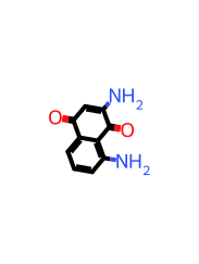 NC1=CC(=O)c2cccc(N)c2C1=O